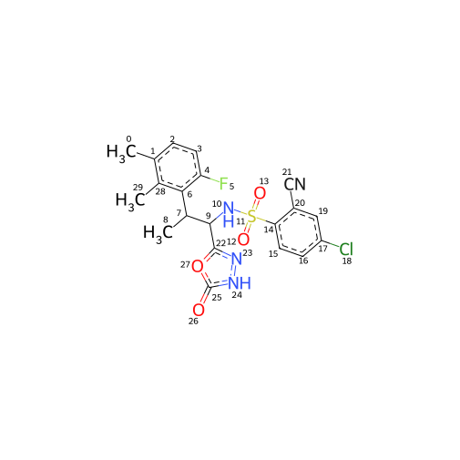 Cc1ccc(F)c(C(C)C(NS(=O)(=O)c2ccc(Cl)cc2C#N)c2n[nH]c(=O)o2)c1C